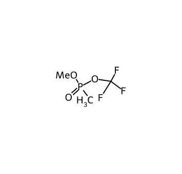 COP(C)(=O)OC(F)(F)F